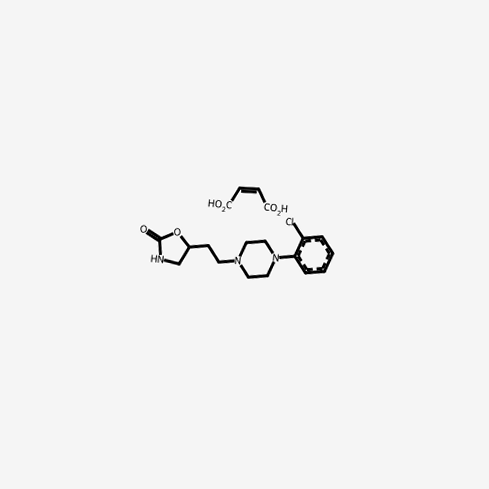 O=C(O)/C=C\C(=O)O.O=C1NCC(CCN2CCN(c3ccccc3Cl)CC2)O1